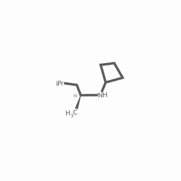 CC(C)C[C@H](C)NC1CCC1